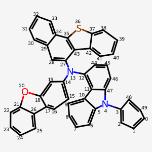 c1ccc(-n2c3ccccc3c3c(N(c4ccc5c(c4)oc4ccccc45)c4cc5ccccc5c5sc6ccccc6c45)cccc32)cc1